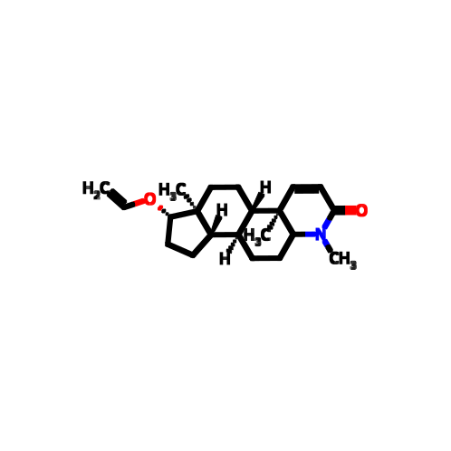 C=CO[C@H]1CC[C@H]2[C@@H]3CCC4N(C)C(=O)C=C[C@]4(C)[C@H]3CC[C@]12C